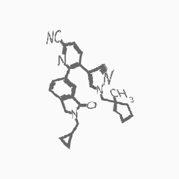 CC1(Cn2cc(-c3ccc(C#N)nc3-c3ccc4c(c3)C(=O)N(CC3CC3)C4)cn2)CCCC1